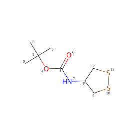 CC(C)(C)OC(=O)NC1CSSC1